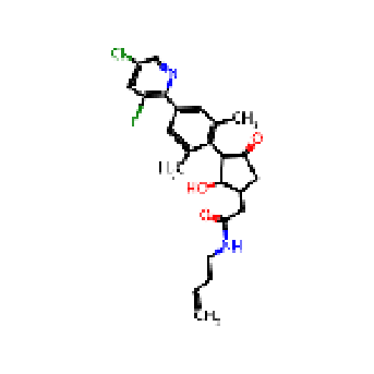 C=CCCNC(=O)CC1CC(=O)C(c2c(C)cc(-c3ncc(Cl)cc3F)cc2C)C1O